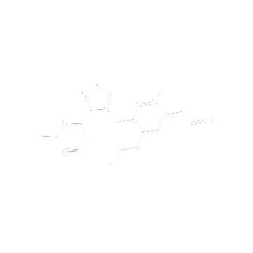 C=CCc1cc(CCC)c(Cn2ccnc2-c2cccc(F)n2)nn1